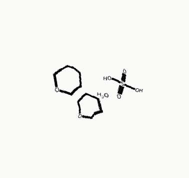 C1CCOCC1.C1CCOCC1.O.O=S(=O)(O)O